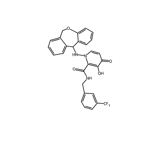 O=C(NCc1cccc(C(F)(F)F)c1)c1c(O)c(=O)ccn1NC1c2ccccc2COc2ccccc21